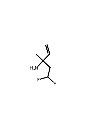 C=CC(C)(N)CC(F)F